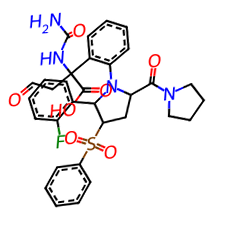 NC(=O)NC(CC=O)(C(=O)O)c1ccccc1N1C(C(=O)N2CCCC2)CC(S(=O)(=O)c2ccccc2)C1c1ccccc1F